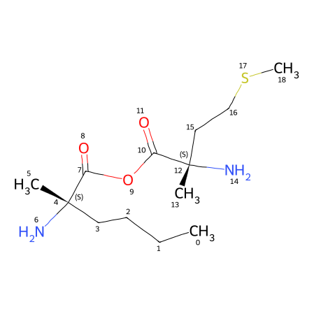 CCCC[C@](C)(N)C(=O)OC(=O)[C@@](C)(N)CCSC